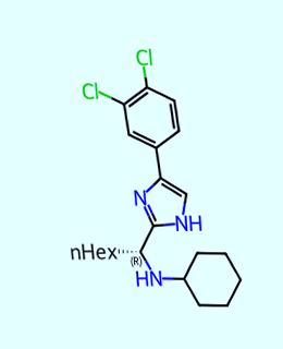 CCCCCC[C@@H](NC1CCCCC1)c1nc(-c2ccc(Cl)c(Cl)c2)c[nH]1